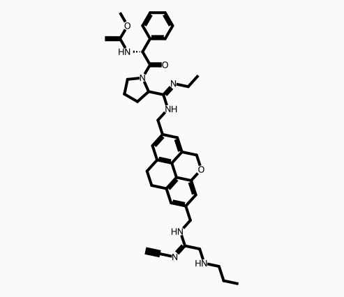 C#C/N=C(/CNCCC)NCc1cc2c3c(c1)OCc1cc(CN/C(=N\CC)C4CCCN4C(=O)[C@H](NC(=C)OC)c4ccccc4)cc(c1-3)CC2